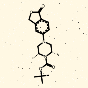 C[C@@H]1CN(c2ccc3c(c2)COC3=O)C[C@H](C)N1C(=O)OC(C)(C)C